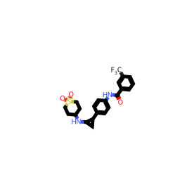 O=C(Nc1ccc(C2CC2NC2CCS(=O)(=O)CC2)cc1)c1cccc(C(F)(F)F)c1